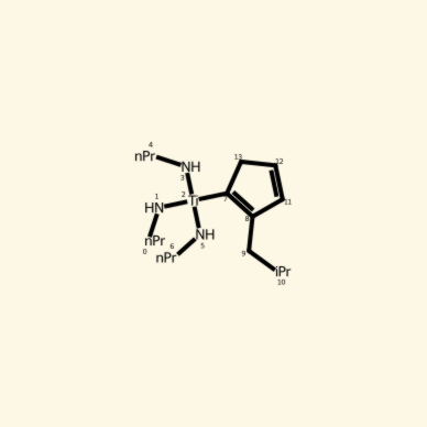 CCC[NH][Ti]([NH]CCC)([NH]CCC)[C]1=C(CC(C)C)C=CC1